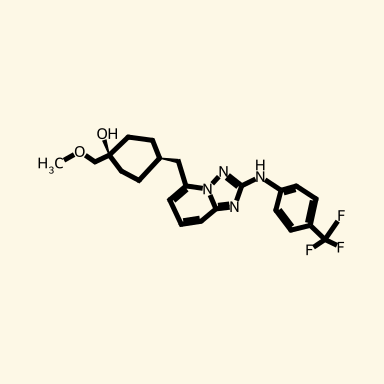 COC[C@]1(O)CC[C@@H](Cc2cccc3nc(Nc4ccc(C(F)(F)F)cc4)nn23)CC1